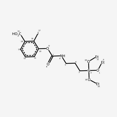 CCO[Si](CCCNC(=O)Oc1cccc(C(=O)O)c1I)(OCC)OCC